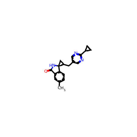 Cc1ccc2c(c1)C(=O)NC21CC1Cc1cnc(C2CC2)nc1